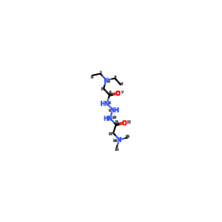 CCN(CC)CC(=O)NNNC(=O)CN(C)C